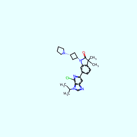 CC(C)n1cnc2cc(-c3ccc4c(c3)N([C@H]3C[C@@H](N5CCCC5)C3)C(=O)C4(C)C)nc(Cl)c21